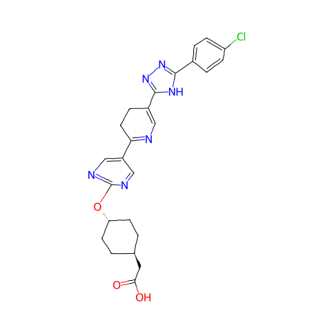 O=C(O)C[C@H]1CC[C@H](Oc2ncc(C3=NC=C(c4nnc(-c5ccc(Cl)cc5)[nH]4)CC3)cn2)CC1